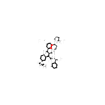 CS(=O)(=O)c1ccc2nc(-c3cccc(C(F)(F)F)c3)c(CN3CCC(N4CCCC4C(F)(F)F)CC3)c(C(=O)NC(c3ccccc3)C(F)(F)F)c2c1